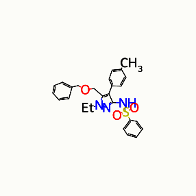 CCn1nc(NS(=O)(=O)c2ccccc2)c(-c2ccc(C)cc2)c1COCc1ccccc1